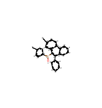 Cc1ccc([S+]([O-])c2c(-c3ccccc3)c3ccccc3c3ccc(C)cc23)cc1